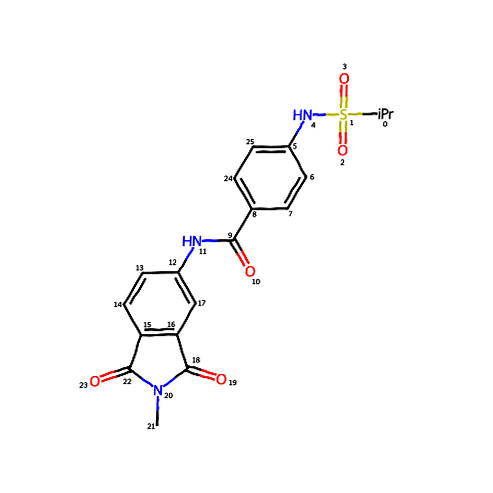 CC(C)S(=O)(=O)Nc1ccc(C(=O)Nc2ccc3c(c2)C(=O)N(C)C3=O)cc1